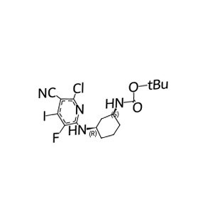 CC(C)(C)OC(=O)N[C@H]1CCC[C@@H](Nc2nc(Cl)c(C#N)c(I)c2F)C1